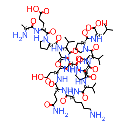 CC(C)C[C@H](NC(=O)[C@@H]1CCCN1C(=O)[C@@H](NC(=O)[C@@H]1CCCN1C(=O)[C@H](CC(C)C)NC(=O)[C@H](CC(=O)O)NC(=O)[C@H](CCC(N)=O)NC(=O)[C@H](CCCCN)NC(=O)[C@@H](NC(=O)[C@H](CC(C)C)NC(=O)[C@@H]1CCCN1C(=O)[C@@H](NC(=O)[C@@H]1CCCN1C(=O)[C@H](CCC(=O)O)NC(=O)[C@H](C)N)C(C)C)C(C)C)C(C)C)C(=O)O